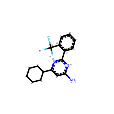 Nc1cc(C2CCCCC2)nc(-c2ccccc2C(F)(F)F)n1